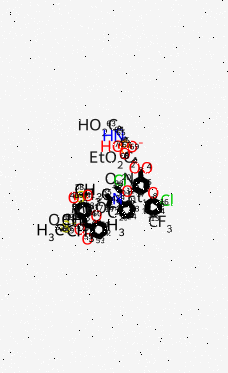 CCOC(=O)COC(=O)c1cc(Oc2ccc(C(F)(F)F)cc2Cl)ccc1[N+](=O)[O-].CCc1cccc(C)c1N(C(=O)CCl)C(C)COC.CS(=O)(=O)c1ccc(C(=O)C2C(=O)CCCC2=O)c([N+](=O)[O-])c1.C[S+](C)C.O=C(O)CNCP(=O)([O-])O